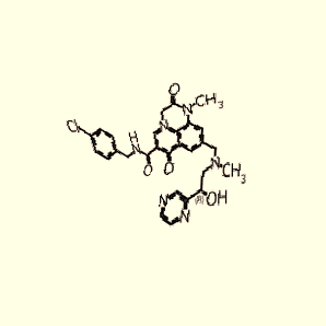 CN(Cc1cc2c3c(c1)c(=O)c(C(=O)NCc1ccc(Cl)cc1)cn3CC(=O)N2C)C[C@@H](O)c1cnccn1